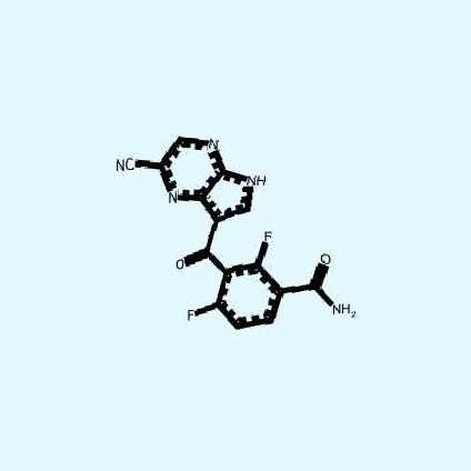 N#Cc1cnc2[nH]cc(C(=O)c3c(F)ccc(C(N)=O)c3F)c2n1